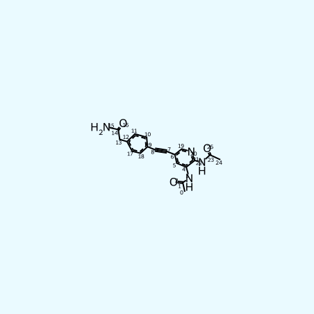 CC(=O)Nc1cc(C#Cc2ccc(CC(N)=O)cc2)cnc1NC(C)=O